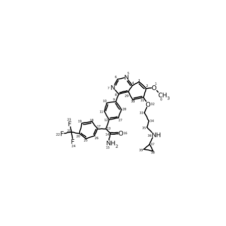 COc1cc2ncnc(-c3ccc(C(C(N)=O)c4ccc(C(F)(F)F)cc4)cc3)c2cc1OCCCNC1CC1